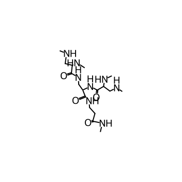 CNCC(NC)C(=O)NCC(NC(=O)C(CNC)NC)C(=O)NCCC(=O)NC